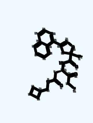 CC(C)C1(C(=O)N[C@@H](CC(=O)OCC2CCC2)C(=O)CF)CC(c2nccc3ccccc23)=NO1